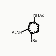 CC(=O)Nc1ccc(C(C)(C)C)c(NC(C)=O)c1